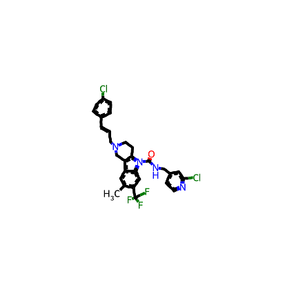 Cc1cc2c3c(n(C(=O)NCc4ccnc(Cl)c4)c2cc1C(F)(F)F)CCN(C/C=C/c1ccc(Cl)cc1)C3